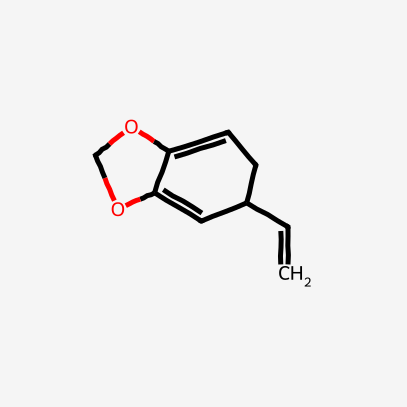 C=CC1C=C2OCOC2=CC1